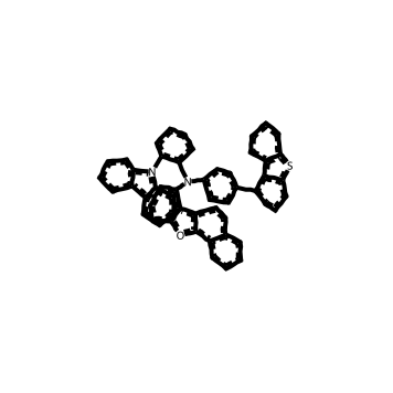 c1ccc(-n2c3ccccc3c3ccccc32)c(N(c2ccc(-c3cccc4sc5ccccc5c34)cc2)c2cccc3oc4c5ccccc5ccc4c23)c1